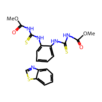 COC(=O)NC(=S)Nc1ccccc1NC(=S)NC(=O)OC.c1ccc2scnc2c1